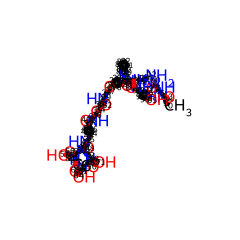 CCC(=O)NCCNC(=O)/N=C(/N)NCCC[C@@H](NC(=O)[C@H](c1ccc(OCCCNC(=O)CCOCCNC(=O)c2ccc(CNC(=O)CN3CCN(CC(=O)O)CCN(CC(=O)O)CCN(CC(=O)O)CC3)cc2)cc1)N1Cc2ccccc2C1)C(=O)NCc1ccc(O)cc1